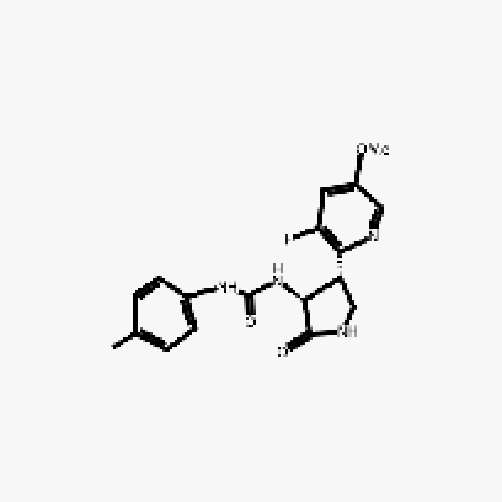 COc1cnc([C@@H]2CNC(=O)[C@H]2NC(=O)Nc2ccc(C)cc2)c(F)c1